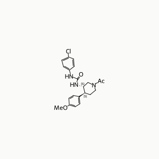 COc1ccc([C@@H]2CCN(C(C)=O)C[C@H]2NC(=O)Nc2ccc(Cl)cc2)cc1